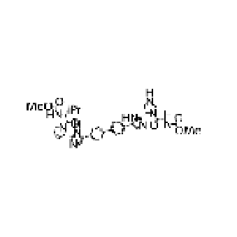 COC(=O)NCC(=O)N1CNC[C@H]1c1ncc(-c2ccc(-c3ccc(-c4cnc([C@@H]5C=CCN5C(=O)C(NC(=O)OC)C(C)C)[nH]4)cc3)cc2)[nH]1